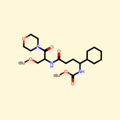 CC(C)(C)OCC(NC(=O)CCC(NC(=O)OC(C)(C)C)C1CCCCC1)C(=O)N1CCOCC1